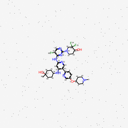 CN1CCC(Oc2ccc(-c3cnc(Nc4nc(N5CCC(O)C(F)(F)C5)ncc4F)cc3NC3CCC(C)(O)CC3)nc2)CC1